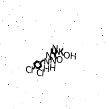 CC(CO)n1ncc2nc(NCc3ccc(Cl)c(Cl)c3)[nH]c(=O)c21